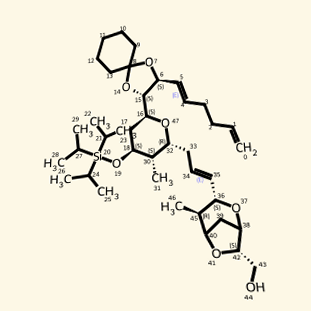 C=CCC/C=C/[C@@H]1OC2(CCCCC2)O[C@H]1[C@@H]1C[C@H](O[Si](C(C)C)(C(C)C)C(C)C)[C@@H](C)[C@@H](C/C=C/[C@@H]2OC3CC(O[C@H]3CO)[C@H]2C)O1